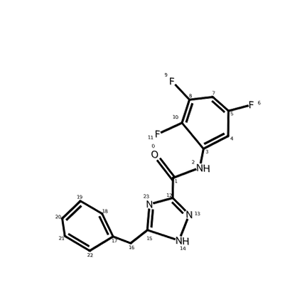 O=C(Nc1cc(F)cc(F)c1F)c1n[nH]c(Cc2ccccc2)n1